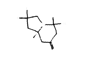 CC1(C)CC(=O)C[C@@H]2CC(F)(F)CN21